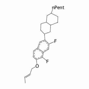 C/C=C/COc1ccc2cc(C3CCC4CC(CCCCC)CCC4C3)c(F)cc2c1F